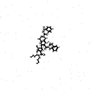 CCCCN(CCCC)C(=O)c1cc(-c2cc3c(cc2C(=O)N2Cc4ccccc4C[C@H]2C)CN(C(=O)Oc2ccccc2N)CC3)n(C)c1C